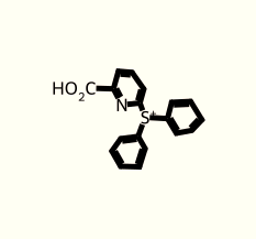 O=C(O)c1cccc([S+](c2ccccc2)c2ccccc2)n1